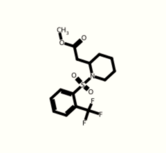 COC(=O)CC1CCCCN1S(=O)(=O)c1ccccc1C(F)(F)F